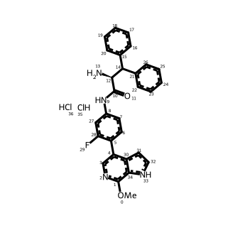 COc1ncc(-c2ccc(NC(=O)[C@@H](N)C(c3ccccc3)c3ccccc3)cc2F)c2cc[nH]c12.Cl.Cl